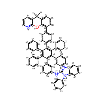 CC1(C)c2cccnc2Oc2c(-c3ccc(-c4c(-c5ccccc5)c(-c5ccccc5)c(-c5cccc(-n6c7ccccc7n7c8ccccc8nc67)c5)c(-c5ccccc5)c4-c4ccccc4)cc3)cccc21